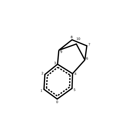 c1ccc2c(c1)C1CCC2C1